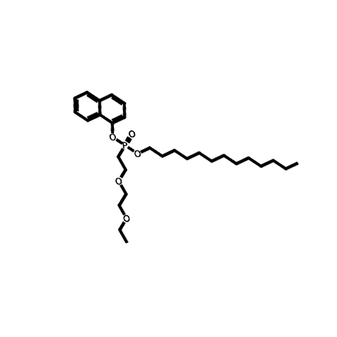 CCCCCCCCCCCCCOP(=O)(CCOCCOCC)Oc1cccc2ccccc12